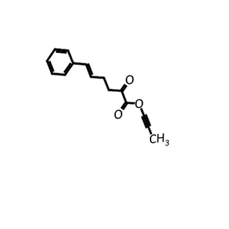 CC#COC(=O)C(=O)CC/C=C/c1ccccc1